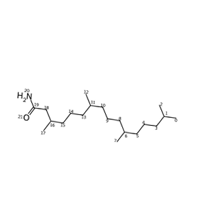 CC(C)CCCC(C)CCCC(C)CCCC(C)CC(N)=O